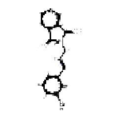 O=C1c2ccccc2C(=O)N1C/C=C/c1cccc(Br)c1